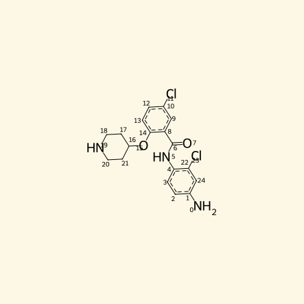 Nc1ccc(NC(=O)c2cc(Cl)ccc2OC2CCNCC2)c(Cl)c1